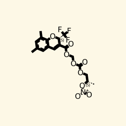 Cc1cc(C)c2c(c1)C=C(C(=O)OCOC(=O)OC[C@H](C)O[N+](=O)[O-])[C@@H](C(F)(F)F)O2